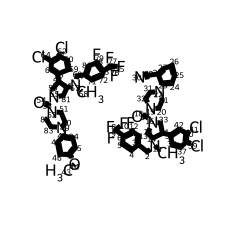 CN(Cc1ccc(C(F)(F)F)c(F)c1)C1CN(C(=O)N2CCN(c3ccccc3C#N)CC2)CC1c1ccc(Cl)c(Cl)c1.COc1ccc(N2CCN(C(=O)N3CC(c4ccc(Cl)c(Cl)c4)C(N(C)Cc4ccc(C(F)(F)F)c(F)c4)C3)CC2)cc1